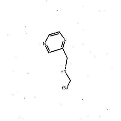 CC(C)(C)CNCc1cnccn1